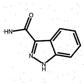 [NH]C(=O)c1n[nH]c2ccccc12